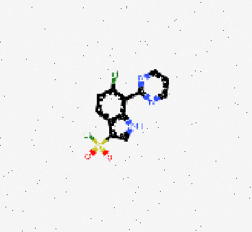 O=S(=O)(Cl)c1c[nH]c2c(-c3ncccn3)c(Cl)ccc12